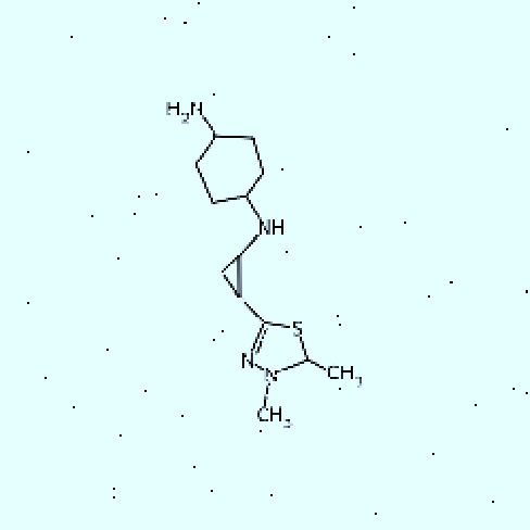 CC1SC(C2CC2NC2CCC(N)CC2)=NN1C